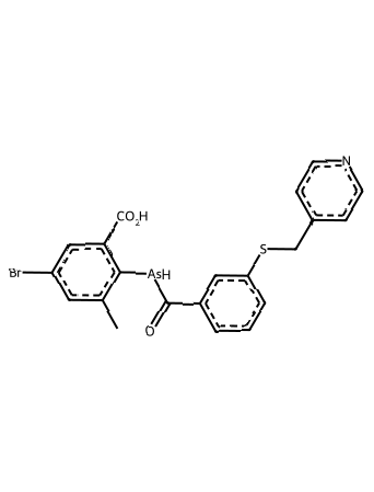 Cc1cc(Br)cc(C(=O)O)c1[AsH]C(=O)c1cccc(SCc2ccncc2)c1